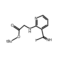 CC(C)(C)OC(=O)CNc1ncccc1C(=N)I